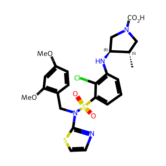 COc1ccc(CN(c2nccs2)S(=O)(=O)c2cccc(N[C@H]3CN(C(=O)O)C[C@@H]3C)c2Cl)c(OC)c1